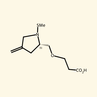 C=C1C[C@@H](COCCC(=O)O)N(SC)C1